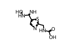 N=C(NO)c1cnc(CNC(=O)O)s1